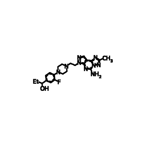 CCC(O)c1ccc(N2CCN(CCn3ncc4c3nc(N)n3nc(C)nc43)CC2)c(F)c1